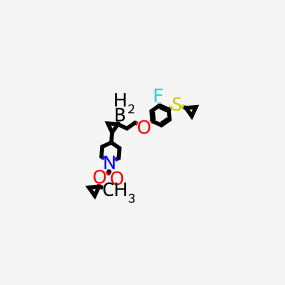 BC1(CCOc2ccc(SC3CC3)c(F)c2)CC1C1CCN(C(=O)OC2(C)CC2)CC1